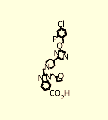 O=C(O)c1ccc2nc(CN3CC=C(c4cncc(OCc5ccc(Cl)cc5F)n4)CC3)n(C[C@@H]3CCO3)c2c1